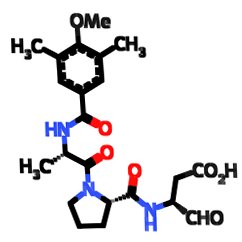 COc1c(C)cc(C(=O)N[C@@H](C)C(=O)N2CCC[C@H]2C(=O)N[C@H](C=O)CC(=O)O)cc1C